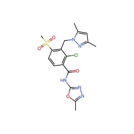 Cc1cc(C)n(Cc2c(S(C)(=O)=O)ccc(C(=O)Nc3nnc(C)o3)c2Cl)n1